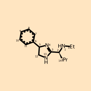 CCN[C@H](C1=NC(c2ccccc2)CN1)C(C)C